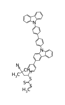 CSC(=S)SC(CC(C)(C)C#N)c1ccc(-c2ccc3c(c2)c2ccccc2n3-c2ccc(-c3ccc(-n4c5ccccc5c5ccccc54)cc3)cc2)cc1